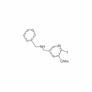 COc1cc(CNCc2ccccc2)cnc1I